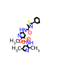 COc1ncc(NC(=O)c2csc(-c3ccccc3)n2)cc1S(=O)(=O)Nc1cc(C)cnc1C